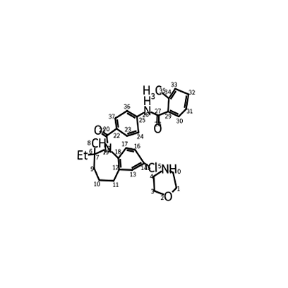 C1COCCN1.CCC1(C)CCCc2cc(Cl)ccc2N1C(=O)c1ccc(NC(=O)c2ccccc2C)cc1